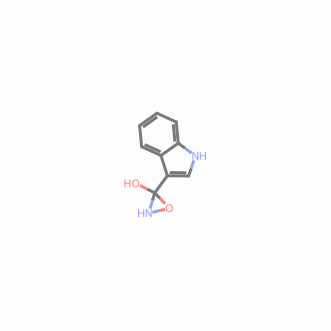 OC1(c2c[nH]c3ccccc23)NO1